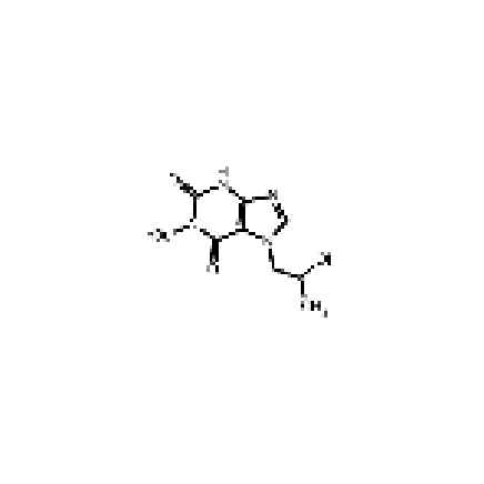 CCCCn1c(=O)[nH]c2ncn(CC(C)O)c2c1=O